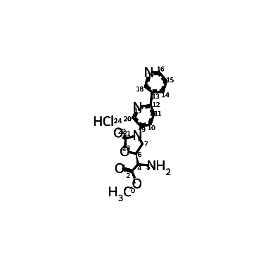 COC(=O)C(N)[C@@H]1CN(c2ccc(-c3cccnc3)nc2)C(=O)O1.Cl